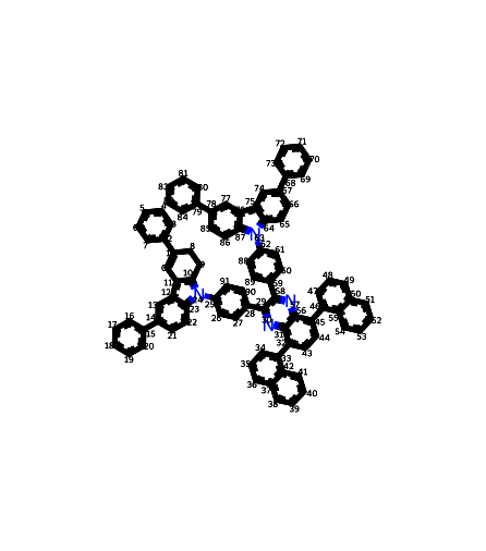 C1=C(c2ccccc2)CCc2c1c1cc(-c3ccccc3)ccc1n2-c1ccc(-c2nc3c(-c4cccc5ccccc45)ccc(-c4cccc5ccccc45)c3nc2-c2ccc(-n3c4ccc(-c5ccccc5)cc4c4cc(-c5ccccc5)ccc43)cc2)cc1